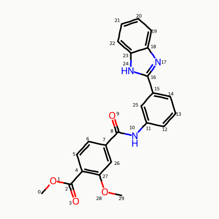 COC(=O)c1ccc(C(=O)Nc2cccc(-c3nc4ccccc4[nH]3)c2)cc1OC